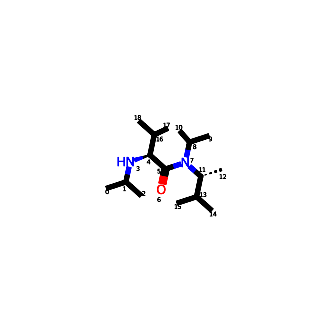 CC(C)N[C@H](C(=O)N(C(C)C)[C@H](C)C(C)C)C(C)C